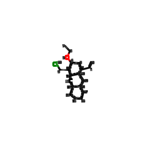 C=Cc1cc(OCC)c(CCl)c2cc3ccccc3cc12